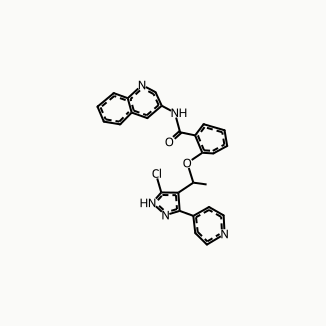 CC(Oc1ccccc1C(=O)Nc1cnc2ccccc2c1)c1c(-c2ccncc2)n[nH]c1Cl